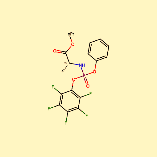 CCCOC(=O)[C@@H](C)NP(=O)(Oc1ccccc1)Oc1c(F)c(F)c(F)c(F)c1F